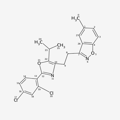 Cc1ccc2onc(CCc3nc(-c4ccc(Cl)cc4Cl)oc3C(C)C)c2c1